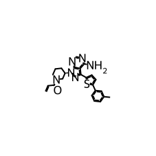 C=CC(=O)N1CCC[C@@H](n2nc(-c3ccc(-c4cccc(C)c4)s3)c3c(N)ncnc32)C1